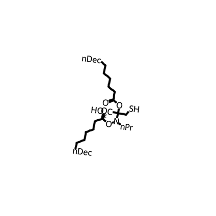 CCCCCCCCCCCCCCCC(=O)ON(CCC)C(CS)(OC(=O)CCCCCCCCCCCCCCC)C(=O)O